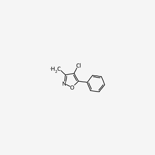 [CH2]c1noc(-c2ccccc2)c1Cl